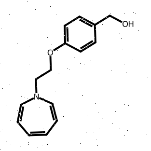 OCc1ccc(OCCN2C=CC=CC=C2)cc1